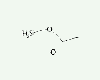 CCO[SiH3].[O]